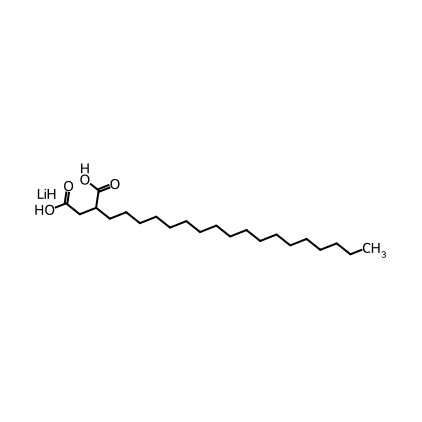 CCCCCCCCCCCCCCCCCCC(CC(=O)O)C(=O)O.[LiH]